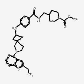 CC(C)(C)OC(=O)N1CCC(CNC(=O)c2ccc(NC3CC4(CCN(c5ncnc6sc(CC(F)(F)F)cc56)C4)C3)cc2)CC1